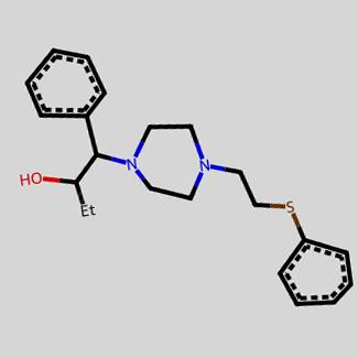 CCC(O)C(c1ccccc1)N1CCN(CCSc2ccccc2)CC1